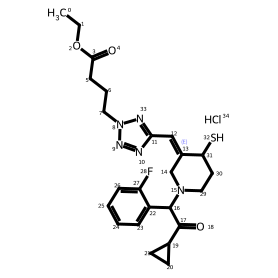 CCOC(=O)CCCn1nnc(/C=C2\CN(C(C(=O)C3CC3)c3ccccc3F)CCC2S)n1.Cl